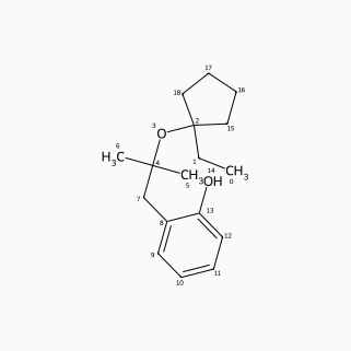 CCC1(OC(C)(C)Cc2ccccc2O)CCCC1